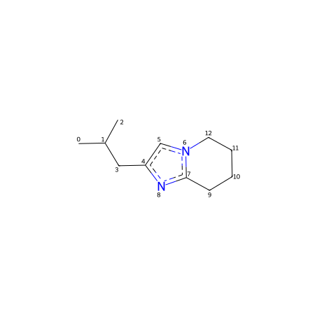 CC(C)Cc1cn2c(n1)CCCC2